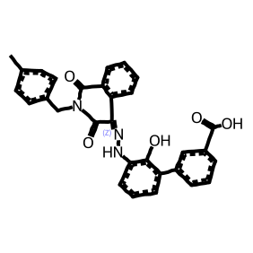 Cc1ccc(CN2C(=O)/C(=N\Nc3cccc(-c4cccc(C(=O)O)c4)c3O)c3ccccc3C2=O)cc1